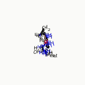 C=C(CCC(C=O)NC(=C)NC(C)CCC)NCCNC(=O)C(Cc1ccccc1)NC(=O)CC1(C)CC1(C)NC(=S)Nc1ccc(C2=c3ccc(=C)cc3Cc3cc(N(CC)CC)ccc32)c(C)c1